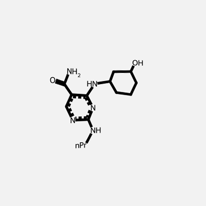 CCCNc1ncc(C(N)=O)c(NC2CCCC(O)C2)n1